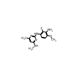 CNc1cc(C)nc(Nc2ccc(OC)c(N)c2F)n1